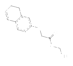 CCOC(=O)COc1ccc2c(c1)CC[C]=C2